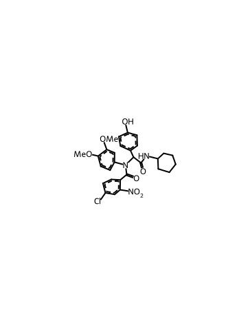 COc1ccc(N(C(=O)c2ccc(Cl)cc2[N+](=O)[O-])C(C(=O)NC2CCCCC2)c2ccc(O)cc2)cc1OC